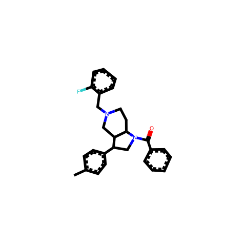 Cc1ccc(C2CN(C(=O)c3ccccc3)C3CCN(Cc4ccccc4F)CC23)cc1